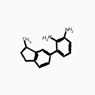 CC1CCc2ccc(-c3cccc(N)c3N)cc21